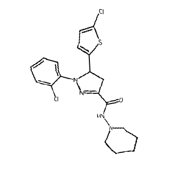 O=C(NN1CCCCC1)C1=NN(c2ccccc2Cl)C(c2ccc(Cl)s2)C1